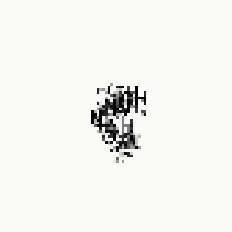 CC(C)(O)[C@H](C1CC1)N1Cc2nccc(NC(=O)c3ccnc4c3CCC4)c2C1=O